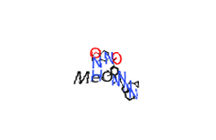 COc1cc(C(=O)N2CCC3OCCNC3C2)cc2nc(-c3cc4cccnc4n3CC3CC3)n(C)c12